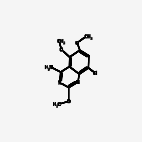 COc1nc(N)c2c(OC)c(OC)cc(Cl)c2n1